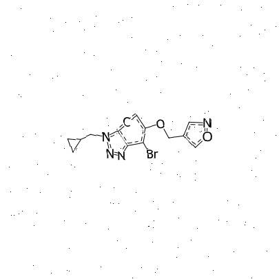 Brc1c(OCc2cnoc2)ccc2c1nnn2CC1CC1